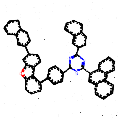 c1ccc2cc(C3=NC(c4ccc(-c5cccc6oc7cc(-c8ccc9ccccc9c8)ccc7c56)cc4)NC(c4cc5ccccc5c5ccccc45)=N3)ccc2c1